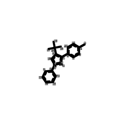 Cc1ccc(-c2nn(-c3ccccc3)cc2C(C)(C)C)cc1